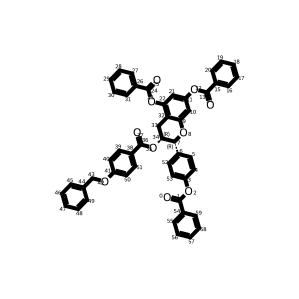 O=C(Oc1ccc([C@H]2Oc3cc(OC(=O)c4ccccc4)cc(OC(=O)c4ccccc4)c3C[C@H]2OC(=O)c2ccc(OCc3ccccc3)cc2)cc1)c1ccccc1